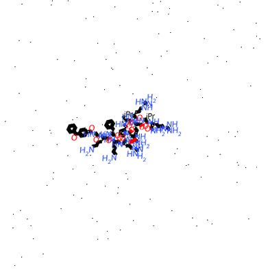 CC(C)C[C@H](NC(=O)[C@@H]1CCCN1C(=O)[C@@H]1CCCN1C(=O)[C@H](CCCNC(=N)N)NC(=O)[C@H](CCCCN)NC(=O)[C@H](Cc1ccccc1)NC(=O)[C@H](CCCCN)NC(=O)CNC(=O)c1ccc(C(=O)c2ccccc2)cc1)C(=O)N[C@@H](CCCNC(=N)N)C(=O)N[C@@H](CCCNC(=N)N)C(=O)N[C@H](C(=O)N[C@@H](CCCNC(=N)N)C(N)=O)C(C)C